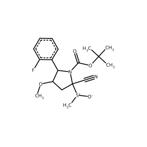 COC1CC(C#N)([S+](C)[O-])N(C(=O)OC(C)(C)C)C1c1ccccc1F